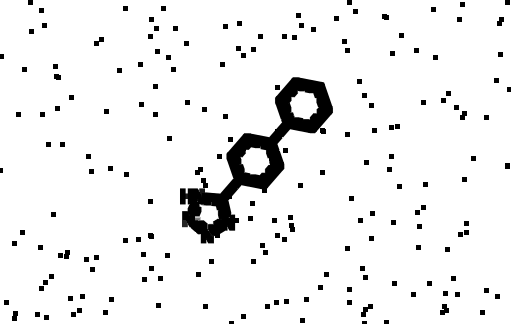 c1ccc(-c2ccc(-c3nnn[nH]3)cc2)cc1